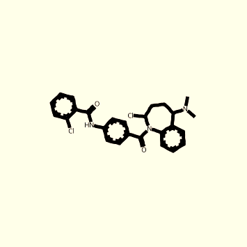 CN(C)C1CCC(Cl)N(C(=O)c2ccc(NC(=O)c3ccccc3Cl)cc2)c2ccccc21